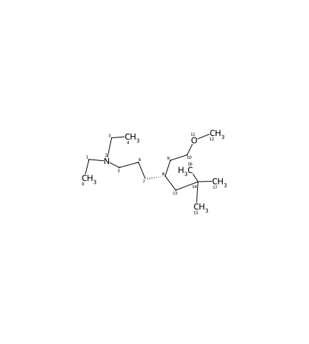 CCN(CC)CCC[C@H](CCOC)CC(C)(C)C